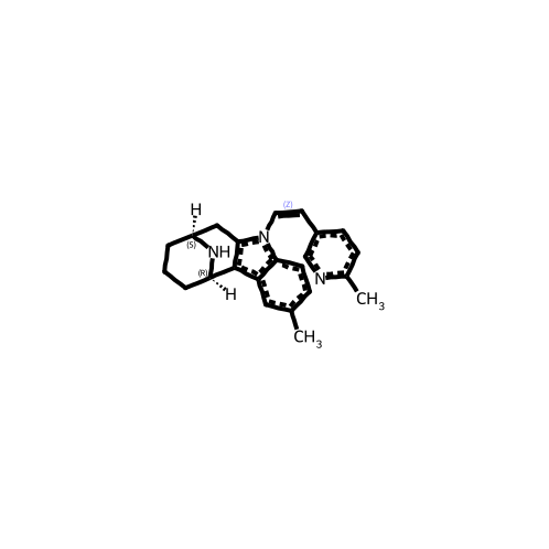 Cc1ccc2c(c1)c1c(n2/C=C\c2ccc(C)nc2)C[C@@H]2CCC[C@H]1N2